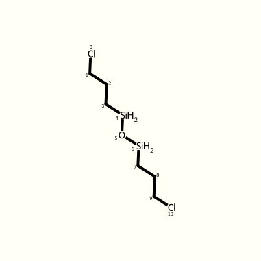 ClCCC[SiH2]O[SiH2]CCCCl